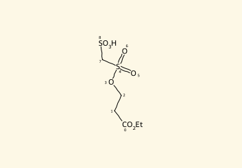 CCOC(=O)CCOS(=O)(=O)CS(=O)(=O)O